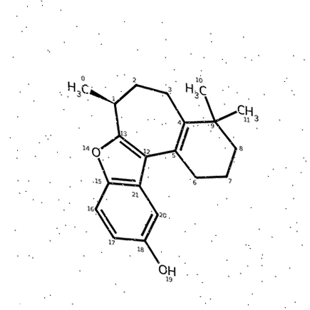 C[C@H]1CCC2=C(CCCC2(C)C)c2c1oc1ccc(O)cc21